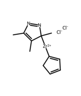 CC1=C(C)[C](C)([Zr+2][C]2=CC=CC2)N=N1.[Cl-].[Cl-]